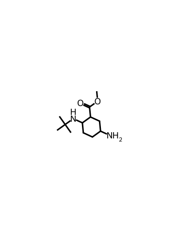 COC(=O)C1CC(N)CCC1NC(C)(C)C